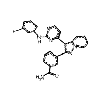 NC(=O)c1cccc(-c2nn3ccccc3c2-c2ccnc(Nc3cccc(F)c3)n2)c1